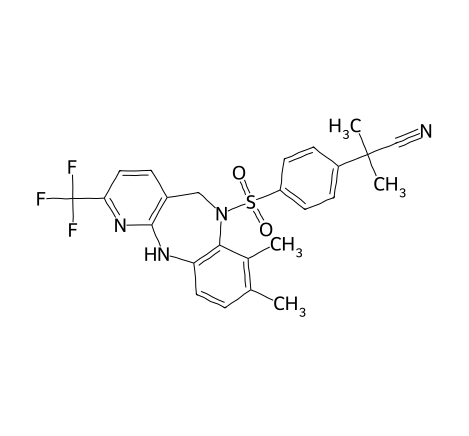 Cc1ccc2c(c1C)N(S(=O)(=O)c1ccc(C(C)(C)C#N)cc1)Cc1ccc(C(F)(F)F)nc1N2